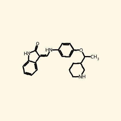 CC(Oc1ccc(NC=C2C(=O)Nc3ccccc32)cc1)C1CCCNC1